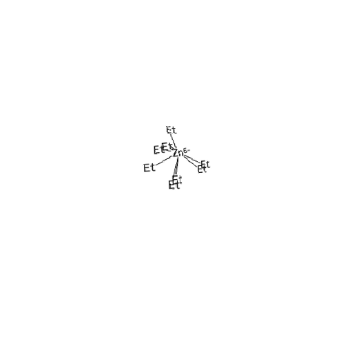 C[CH2][Zn-6]([CH2]C)([CH2]C)([CH2]C)([CH2]C)([CH2]C)([CH2]C)[CH2]C